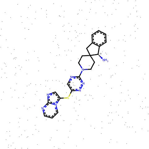 N[C@@H]1c2ccccc2CC12CCN(c1ncc(Sc3cnc4ncccn34)nn1)CC2